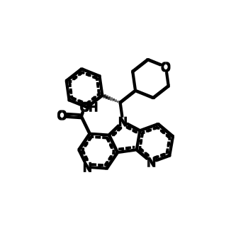 O=C(O)c1cncc2c3ncccc3n([C@H](c3ccccc3)C3CCOCC3)c12